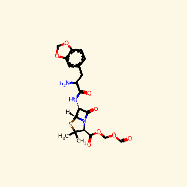 CC1(C)S[C@@H]2[C@H](NC(=O)C(N)Cc3ccc4c(c3)OCO4)C(=O)N2[C@H]1C(=O)OCOC=O